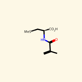 C=C(C)C(=O)N[C@@H](CSC)C(=O)O